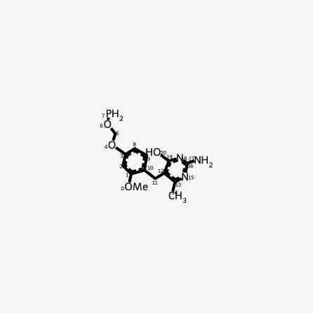 COc1cc(OCOP)ccc1Cc1c(C)nc(N)nc1O